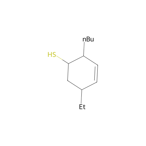 CCCCC1C=CC(CC)CC1S